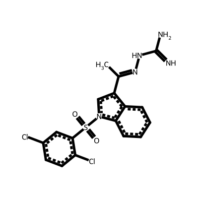 CC(=NNC(=N)N)c1cn(S(=O)(=O)c2cc(Cl)ccc2Cl)c2ccccc12